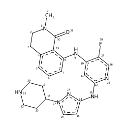 CN1CCc2cccc(Nc3cc(Nc4ccn(C5CCNCC5)n4)ncc3F)c2C1=O